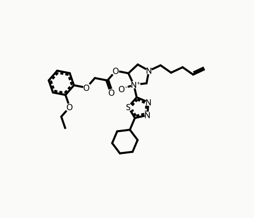 C=CCCCN1CC(OC(=O)COc2ccccc2OCC)[N+]([O-])(c2nnc(C3CCCCC3)s2)C1